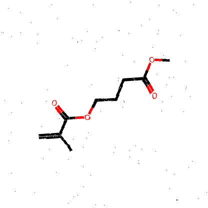 C=C(C)C(=O)OCCCC(=O)OC